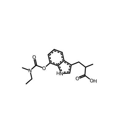 CCN(C)C(=O)Oc1cccc2c(CC(C)C(=O)O)c[nH]c12